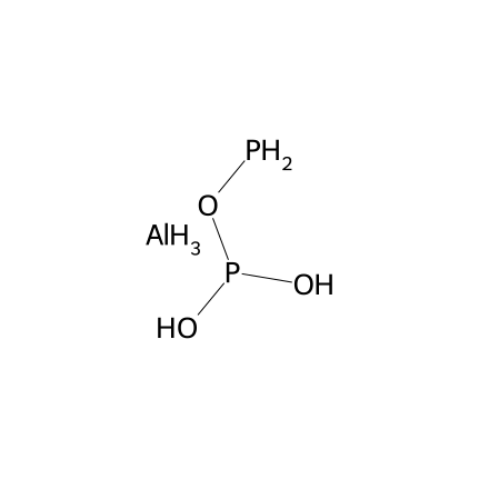 OP(O)OP.[AlH3]